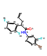 C=CCC(C(=O)Nc1ccc(Br)c(F)c1)c1cc(F)ccc1F